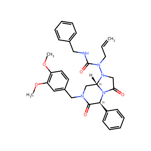 C=CCN(C(=O)NCc1ccccc1)N1CC(=O)N2[C@@H](c3ccccc3)C(=O)N(Cc3ccc(OC)c(OC)c3)C[C@@H]21